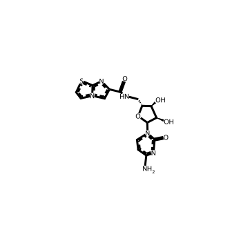 Nc1ccn(C2O[C@H](CNC(=O)c3cn4ccsc4n3)[C@@H](O)[C@H]2O)c(=O)n1